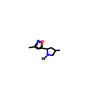 CCN1CC(C)CC1c1cc(C)no1